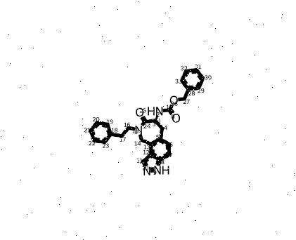 O=C(N[C@H]1Cc2ccc3[nH]ncc3c2CN(CCc2ccccc2)C1=O)OCc1ccccc1